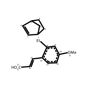 C1=CC2CCC1C2.CCc1cc(OC)ccc1C=CC(=O)O